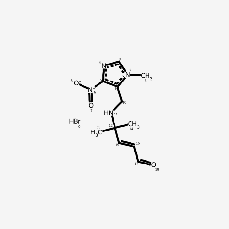 Br.Cn1cnc([N+](=O)[O-])c1CNC(C)(C)C=CC=O